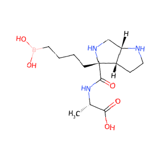 C[C@H](NC(=O)[C@]1(CCCCB(O)O)NC[C@@H]2NCC[C@@H]21)C(=O)O